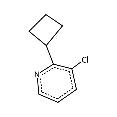 Clc1cccnc1C1CCC1